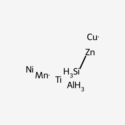 [AlH3].[Cu].[Mn].[Ni].[SiH3][Zn].[Ti]